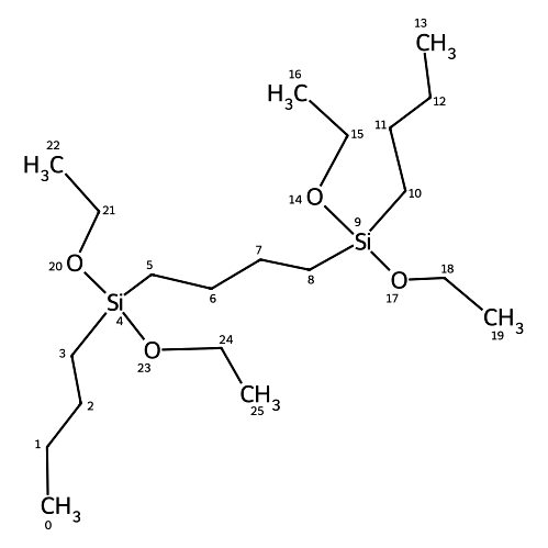 CCCC[Si](CCCC[Si](CCCC)(OCC)OCC)(OCC)OCC